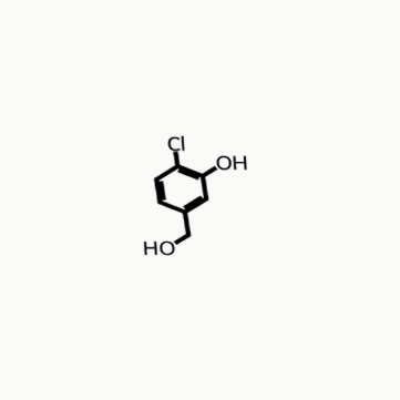 OCc1ccc(Cl)c(O)c1